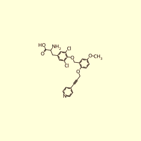 COc1ccc(OCC#Cc2ccncc2)c(COc2c(Cl)cc(CC(N)C(=O)O)cc2Cl)c1